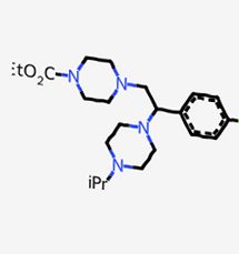 CCOC(=O)N1CCN(CC(c2ccc(F)cc2)N2CCN(C(C)C)CC2)CC1